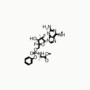 CNc1nc(N)nc2c1ncn2[C@@H]1O[C@](F)(CO[P@](=O)(N[C@@H](C)C(=O)OC)Oc2ccccc2)[C@@H](O)[C@@]1(C)F